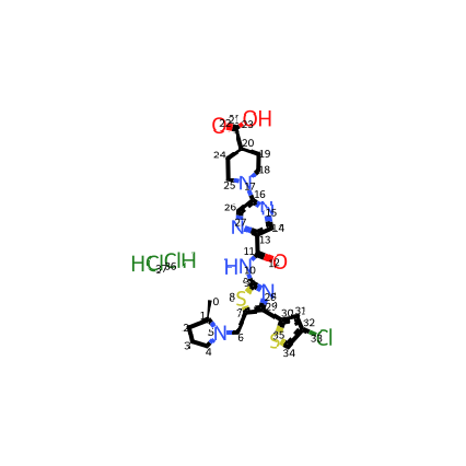 C[C@@H]1CCCN1Cc1sc(NC(=O)c2cnc(N3CCC(C(=O)O)CC3)cn2)nc1-c1cc(Cl)cs1.Cl.Cl